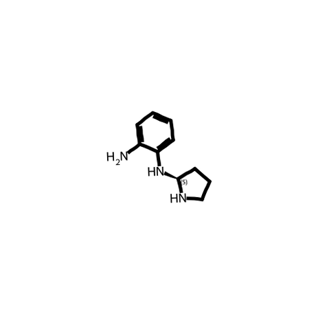 Nc1ccccc1N[C@H]1CCCN1